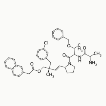 CC(N)C(=O)NC(C(=O)N1CCCC1/C=C/[C@](C)(COC(=O)Cc1ccc2ccccc2c1)Cc1cccc(Cl)c1)C(C)OCc1ccccc1